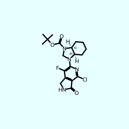 CC(C)(C)OC(=O)N1CN(c2nc(Cl)c3c(c2F)CNC3=O)[C@@H]2CCCC[C@@H]21